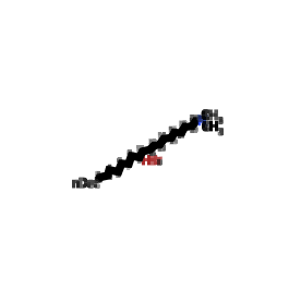 Br.CCCCCCCCCCCCCCCCCCCCCCCCCCCCCN(C)C